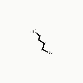 [CH2]C(CC)CCCCCC[CH]C